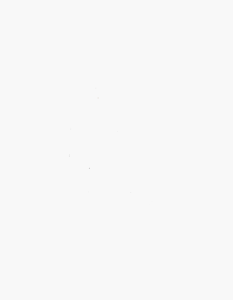 C=C1CCc2ccc(Br)cc2C1